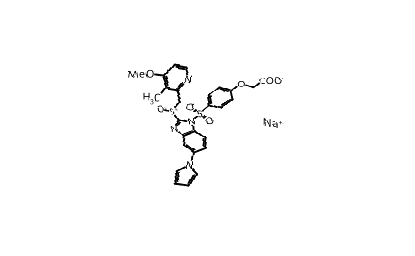 COc1ccnc(C[S+]([O-])c2nc3cc(-n4cccc4)ccc3n2S(=O)(=O)c2ccc(OCC(=O)[O-])cc2)c1C.[Na+]